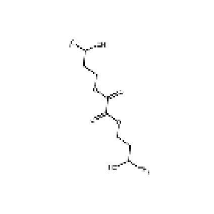 CC(O)CCOC(=O)C(=O)OCCC(C)O